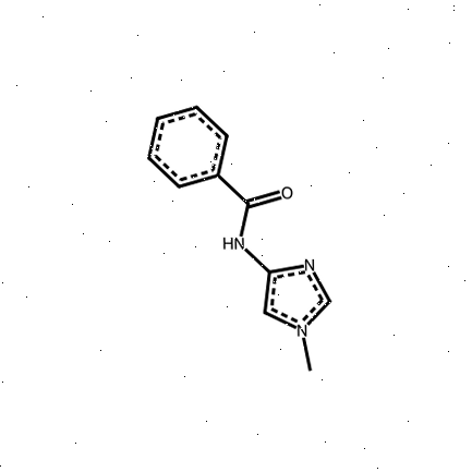 Cn1cnc(NC(=O)c2ccccc2)c1